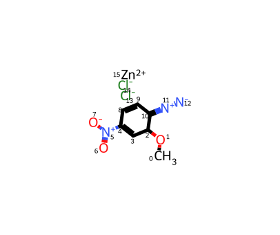 COC1C=C([N+](=O)[O-])C=CC1=[N+]=[N-].[Cl-].[Cl-].[Zn+2]